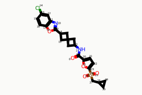 O=C(NC1CC2(C1)CC(c1nc3cc(Cl)ccc3o1)C2)c1ccc(S(=O)(=O)CC2CC2)o1